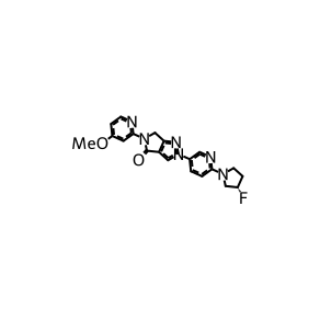 COc1ccnc(N2Cc3nn(-c4ccc(N5CC[C@H](F)C5)nc4)cc3C2=O)c1